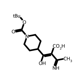 CC(=N)/C(C(=O)O)=C(\O)C1CCN(C(=O)OC(C)(C)C)CC1